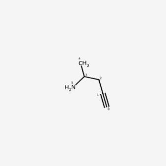 [C]#CCC(C)N